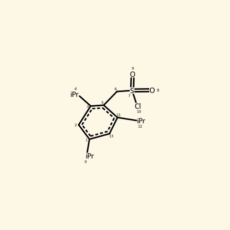 CC(C)c1cc(C(C)C)c(CS(=O)(=O)Cl)c(C(C)C)c1